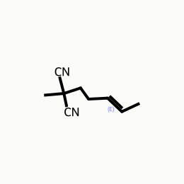 C/C=C/CCC(C)(C#N)C#N